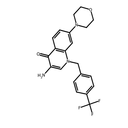 Nc1cn(Cc2ccc(C(F)(F)F)cc2)c2cc(N3CCOCC3)ccc2c1=O